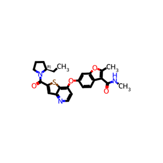 CC[C@@H]1CCCN1C(=O)c1cc2nccc(Oc3ccc4c(C(=O)NC)c(C)oc4c3)c2s1